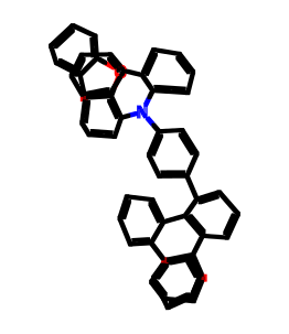 c1ccc(-c2ccccc2-c2c(-c3ccccc3)cccc2-c2ccc(N(c3ccccc3-c3ccccc3)c3cccc4c3oc3ccccc34)cc2)cc1